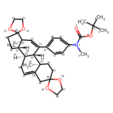 CN(C(=O)OC(C)(C)C)c1ccc(C2=C[C@@]3(C)[C@@H](CCC34OCCO4)[C@@H]3CC=C4CC5(CC[C@]4(C)[C@@H]23)OCCO5)cc1